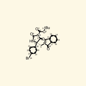 CC(C)(C)OC(=O)N1C(=O)N[C@](CN2Cc3ccccc3C2=O)(c2ccc(Br)cc2)C1=O